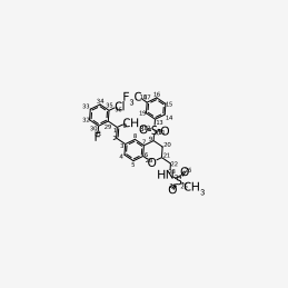 CC(=Cc1ccc2c(c1)C(S(=O)(=O)c1cccc(C(F)(F)F)c1)CC(CNS(C)(=O)=O)O2)c1c(F)cccc1Cl